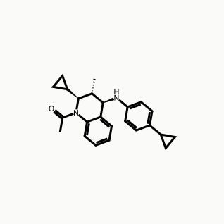 CC(=O)N1c2ccccc2[C@H](Nc2ccc(C3CC3)cc2)[C@@H](C)[C@@H]1C1CC1